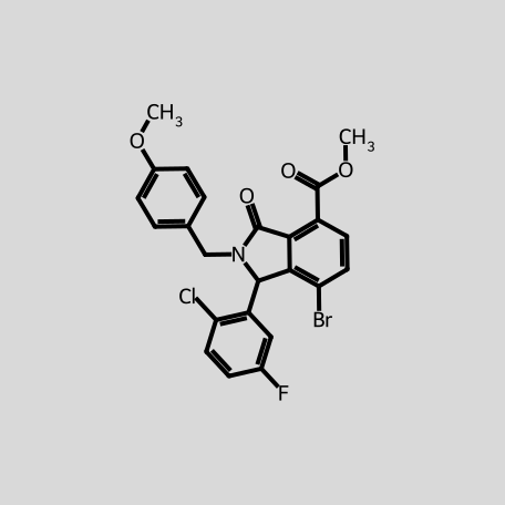 COC(=O)c1ccc(Br)c2c1C(=O)N(Cc1ccc(OC)cc1)C2c1cc(F)ccc1Cl